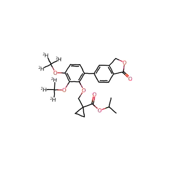 [2H]C([2H])([2H])Oc1ccc(-c2ccc3c(c2)COC3=O)c(OCC2(C(=O)OC(C)C)CC2)c1OC([2H])([2H])[2H]